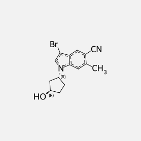 Cc1cc2c(cc1C#N)c(Br)cn2[C@@H]1CC[C@@H](O)C1